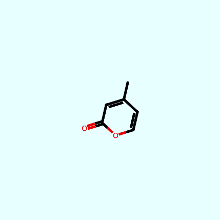 Cc1ccoc(=O)c1